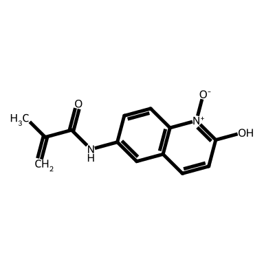 C=C(C)C(=O)Nc1ccc2c(ccc(O)[n+]2[O-])c1